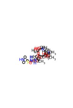 CC[C@H]1OC(=O)[C@H](C)[C@@H](O[C@H]2C[C@@](C)(OC)[C@@](O)(CNCCNC(=O)c3cc4c(s3)-c3ccccc3Nc3ccccc3-4)[C@H](C)O2)[C@H](C)[C@@H](O[C@@H]2O[C@H](C)C[C@H](N(C)C)[C@H]2O)[C@](C)(O)C[C@@H](C)CN(C)[C@H](C)[C@@H](O)[C@]1(C)O